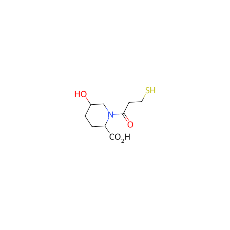 O=C(O)C1CCC(O)CN1C(=O)CCS